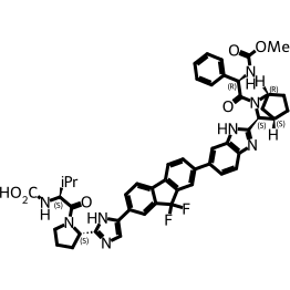 COC(=O)N[C@@H](C(=O)N1[C@@H]2CC[C@@H](C2)[C@H]1c1nc2ccc(-c3ccc4c(c3)C(F)(F)c3cc(-c5cnc([C@@H]6CCCN6C(=O)[C@@H](NC(=O)O)C(C)C)[nH]5)ccc3-4)cc2[nH]1)c1ccccc1